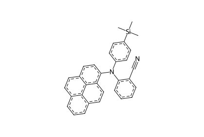 C[Si](C)(C)c1ccc(N(c2ccccc2C#N)c2ccc3ccc4cccc5ccc2c3c45)cc1